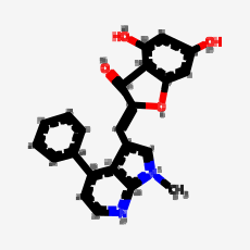 Cn1cc(C=C2Oc3cc(O)cc(O)c3C2=O)c2c(-c3ccccc3)ccnc21